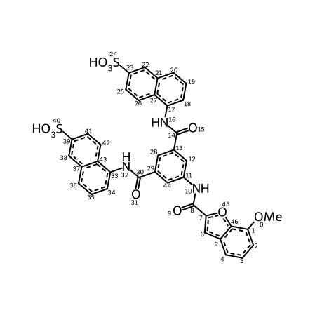 COc1cccc2cc(C(=O)Nc3cc(C(=O)Nc4cccc5cc(S(=O)(=O)O)ccc45)cc(C(=O)Nc4cccc5cc(S(=O)(=O)O)ccc45)c3)oc12